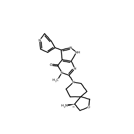 Cn1c(N2CCC3(CC2)COC[C@H]3N)nc2[nH]nc(-c3ccncc3)c2c1=O